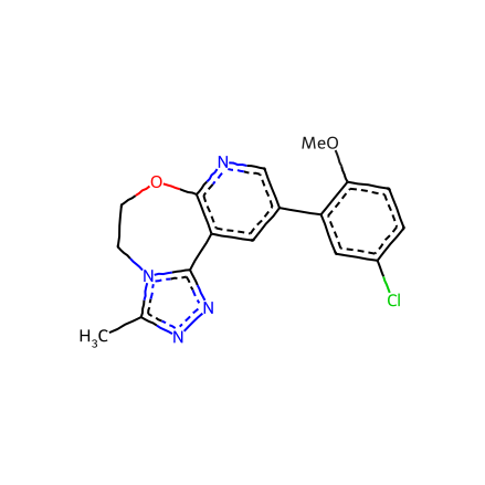 COc1ccc(Cl)cc1-c1cnc2c(c1)-c1nnc(C)n1CCO2